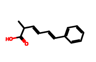 CC(/C=C/C=C/c1ccccc1)C(=O)O